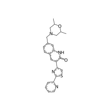 CC1CN(Cc2ccc3cc(-c4csc(-c5ccccn5)n4)c(=O)[nH]c3c2)CC(C)O1